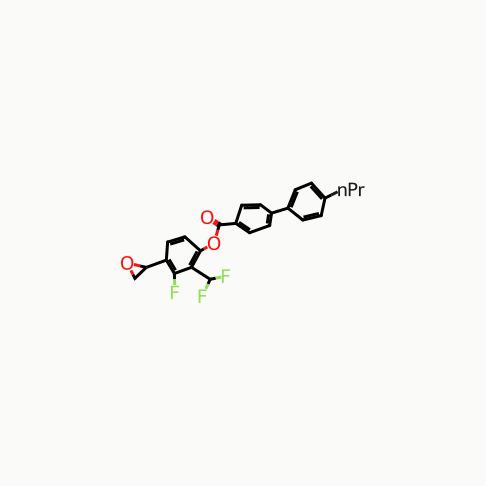 CCCc1ccc(-c2ccc(C(=O)Oc3ccc(C4CO4)c(F)c3C(F)F)cc2)cc1